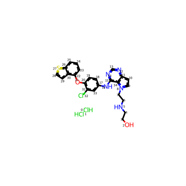 Cl.Cl.OCCNCCn1ccc2ncnc(Nc3ccc(Oc4cccc5sccc45)c(Cl)c3)c21